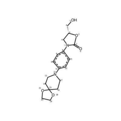 O=C1O[C@@H](CO)CN1c1ccc(N2CCC3(CC2)OCCO3)cc1